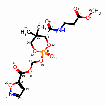 COC(=O)CCNC(=O)[C@@H]1OP(=O)(OCOC(=O)c2ccno2)OCC1(C)C